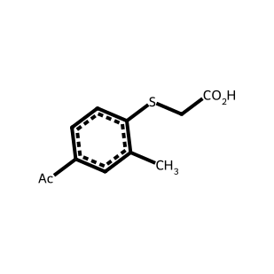 CC(=O)c1ccc(SCC(=O)O)c(C)c1